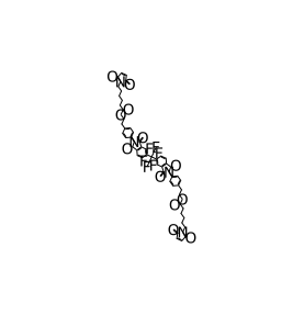 O=C(CCCCCN1C(=O)C=CC1=O)OCCc1ccc(N2C(=O)c3ccc(C(c4ccc5c(c4)C(=O)N(c4ccc(CCOC(=O)CCCCCN6C(=O)C=CC6=O)cc4)C5=O)(C(F)(F)F)C(F)(F)F)cc3C2=O)cc1